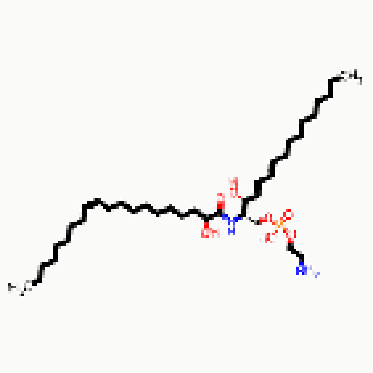 CCCCCCCC/C=C\CCCCCCCCC(O)C(=O)N[C@@H](COP(=O)(O)OCCN)[C@H](O)/C=C/C=C/CCCCCCCCC